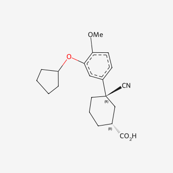 COc1ccc([C@@]2(C#N)CCC[C@@H](C(=O)O)C2)cc1OC1CCCC1